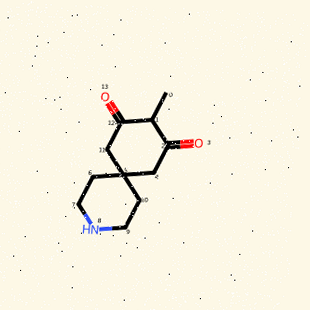 CC1C(=O)CC2(CCNCC2)CC1=O